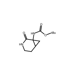 CC(C)(C)OC(=O)NC12CC1CCNC2=O